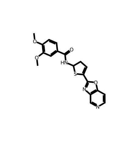 COc1ccc(C(=O)NC2CC=C(c3nc4cnccc4o3)S2)cc1OC